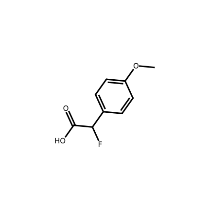 COc1ccc(C(F)C(=O)O)cc1